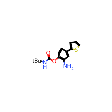 CC(C)(C)NC(=O)Oc1ccc(-c2cccs2)cc1N